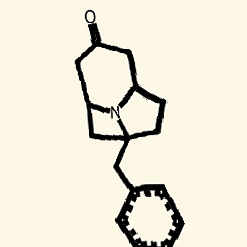 O=C1CC2CCC3(Cc4ccccc4)CC(C1)N23